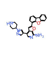 Nc1ncc(-c2cnn(C3CCNCC3)c2)c2cc(-c3cccc4c3oc3ccccc34)oc12